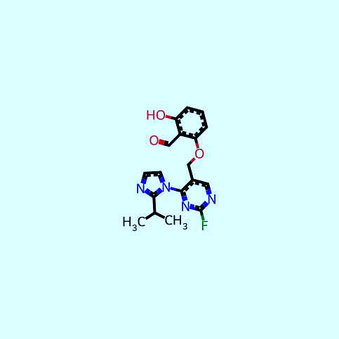 CC(C)c1nccn1-c1nc(F)ncc1COc1cccc(O)c1C=O